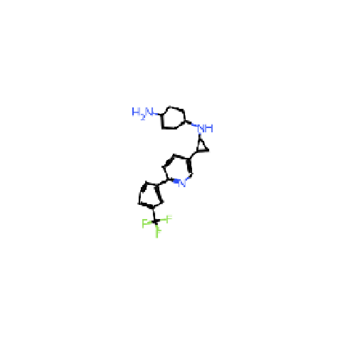 NC1CCC(NC2CC2c2ccc(-c3cccc(C(F)(F)F)c3)nc2)CC1